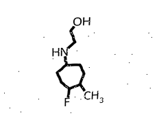 CC1CCC(NCCO)CCC1F